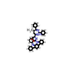 CC1C=C(c2cccc(-n3c4ccccc4c4ccc5c6ccccc6n(C6=CC=CCC6)c5c43)n2)NC(c2ccccc2)N=C1c1ccccc1